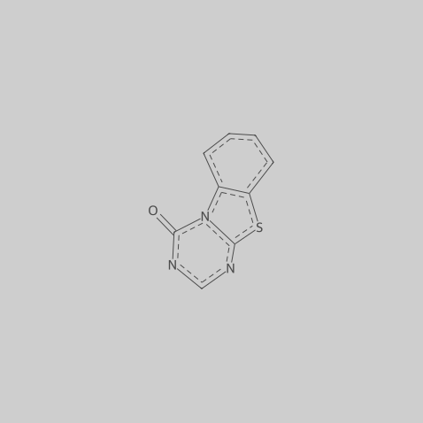 O=c1ncnc2sc3ccccc3n12